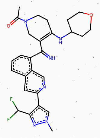 CC(=O)N1CCC(NC2CCOCC2)=C(C(=N)c2cccc3cc(-c4cn(C)nc4C(F)F)ncc23)C1